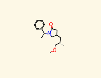 COC[C@@H](C)CC1CC(=O)N([C@@H](C)c2ccccc2)C1